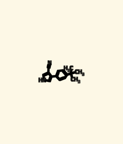 CC(C)(C)c1ccc(-c2c[nH]cc2C#N)cc1